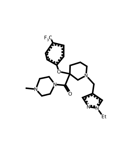 CCn1cc(CN2CCCC(Oc3ccc(C(F)(F)F)cc3)(C(=O)N3CCN(C)CC3)C2)cn1